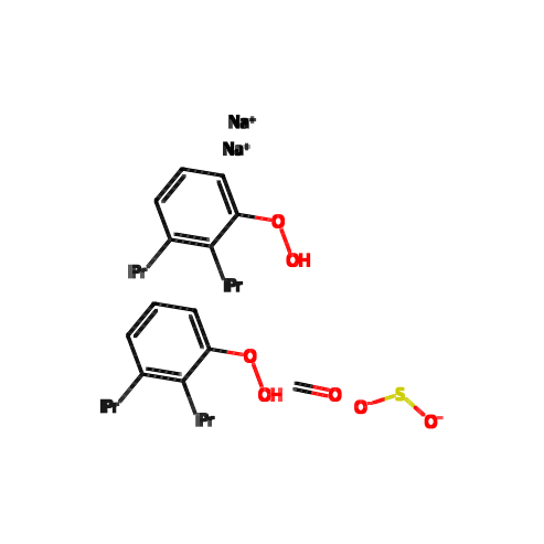 C=O.CC(C)c1cccc(OO)c1C(C)C.CC(C)c1cccc(OO)c1C(C)C.[Na+].[Na+].[O-]S[O-]